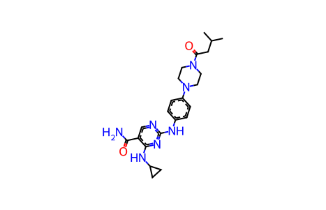 CC(C)CC(=O)N1CCN(c2ccc(Nc3ncc(C(N)=O)c(NC4CC4)n3)cc2)CC1